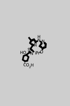 Cc1cc(Nc2cc(OC(C)C)ccn2)nc(-c2cnc([C@]3(O)CC[C@H](C(=O)O)CC3)s2)c1